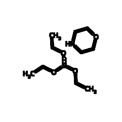 C1COCCN1.CCO[SiH](OCC)OCC